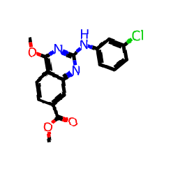 COC(=O)c1ccc2c(OC)nc(Nc3cccc(Cl)c3)nc2c1